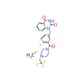 CC[C@@H]1CN(C(=O)c2cc(Cn3c(=O)[nH]c(=O)c4ccccc43)ccc2F)CCN1CC(F)(F)F